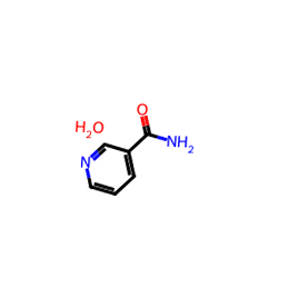 NC(=O)c1cccnc1.O